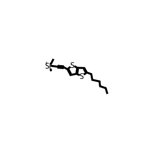 CCCCCCc1cc2sc(C#C[Si](C)(C)C)cc2s1